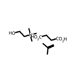 C=C(C)C.C[N+](C)(C)CCO.O=C(O)CCC(=O)O